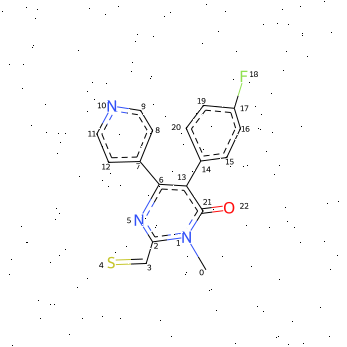 Cn1c(C=S)nc(-c2ccncc2)c(-c2ccc(F)cc2)c1=O